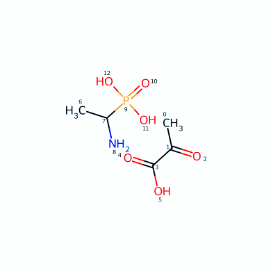 CC(=O)C(=O)O.CC(N)P(=O)(O)O